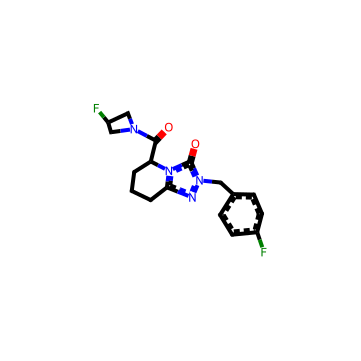 O=C(C1CCCc2nn(Cc3ccc(F)cc3)c(=O)n21)N1CC(F)C1